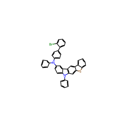 Brc1ccccc1-c1ccc(N(c2ccccc2)c2ccc3c(c2)c2cc4c(cc2n3-c2ccccc2)sc2ccccc24)cc1